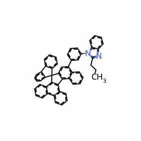 CCCc1nc2ccccc2n1-c1cccc(-c2cc3c(c4ccccc24)-c2c(c4ccccc4c4ccccc24)C32c3ccccc3-c3ccccc32)c1